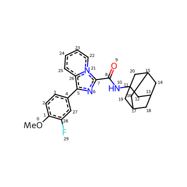 COc1ccc(-c2nc(C(=O)NC34CC5CC(CC(C5)C3)C4)n3ccccc23)cc1F